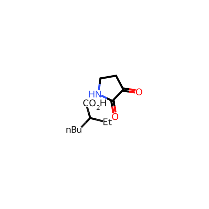 CCCCC(CC)C(=O)O.O=C1CCNC1=O